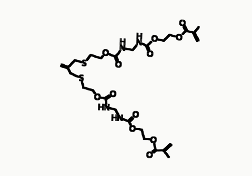 C=C(CSCCOC(=O)NCNC(=O)OCCOC(=O)C(=C)C)CSCCOC(=O)NCNC(=O)OCCOC(=O)C(=C)C